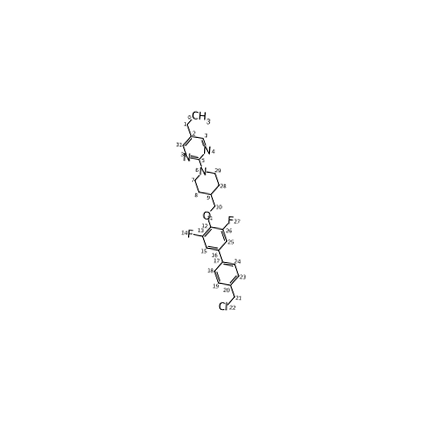 CCc1cnc(N2CCC(COc3c(F)cc(-c4ccc(CCl)cc4)cc3F)CC2)nc1